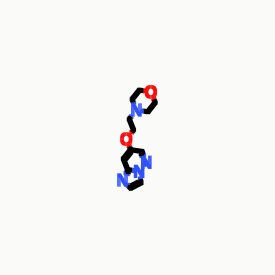 c1cn2ncc(OCCN3CCOCC3)cc2n1